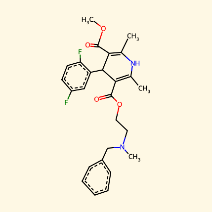 COC(=O)C1=C(C)NC(C)=C(C(=O)OCCN(C)Cc2ccccc2)C1c1cc(F)ccc1F